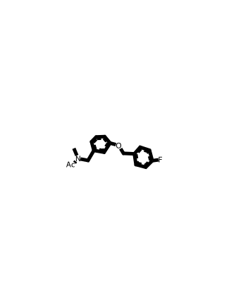 CC(=O)N(C)Cc1cccc(OCc2ccc(F)cc2)c1